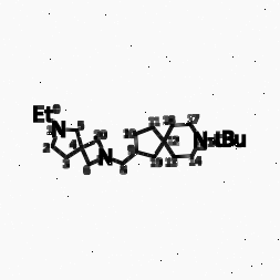 CCN1CCC2(C1)CN(CC1CCC3(CCN(C(C)(C)C)CC3)C1)C2